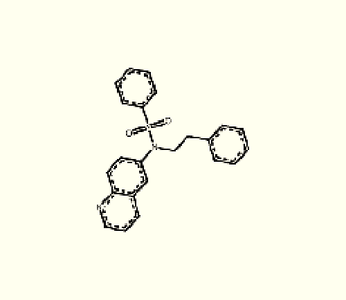 O=S(=O)(c1ccccc1)N(CCc1ccccc1)c1ccc2ncccc2c1